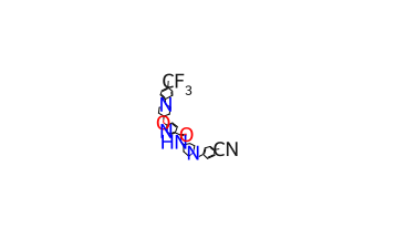 N#Cc1ccc(CN2CCC(NC(=O)c3ccc(OC4CCN(c5ccc(C(F)(F)F)cc5)CC4)nc3)CC2)cc1